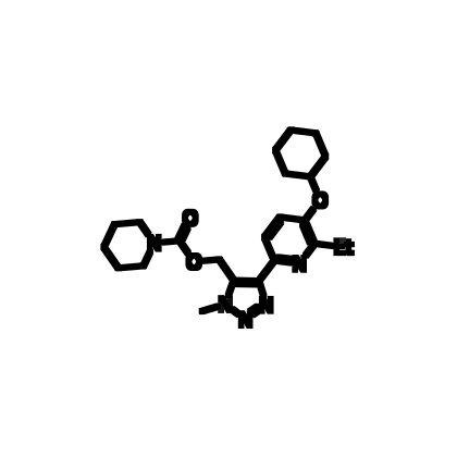 CCc1nc(-c2nnn(C)c2COC(=O)N2CCCCC2)ccc1OC1CCCCC1